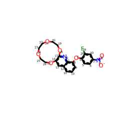 O=[N+]([O-])c1ccc(Oc2cccc3cc4c(nc23)OCCOCCOCCO4)c(F)c1